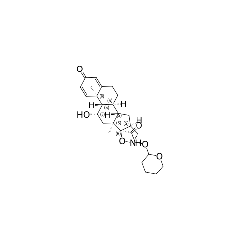 C[C@]12C=CC(=O)C=C1CC[C@@H]1[C@@H]2[C@@H](O)C[C@@]2(C)[C@H]1C[C@H]1CNO[C@]12C(=O)COC1CCCCO1